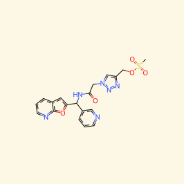 CS(=O)(=O)OCc1cn(CC(=O)NC(c2cccnc2)c2cc3cccnc3o2)nn1